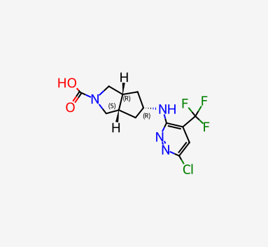 O=C(O)N1C[C@H]2C[C@@H](Nc3nnc(Cl)cc3C(F)(F)F)C[C@H]2C1